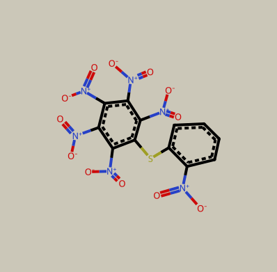 O=[N+]([O-])c1ccccc1Sc1c([N+](=O)[O-])c([N+](=O)[O-])c([N+](=O)[O-])c([N+](=O)[O-])c1[N+](=O)[O-]